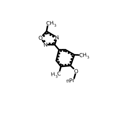 [CH2]CCOc1c(C)cc(-c2noc(C)n2)cc1C